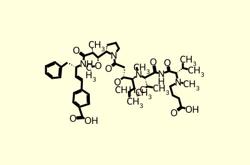 CC[C@H](C)[C@@H]([C@@H](CC(=O)N1CCC[C@H]1[C@H](OC)[C@@H](C)C(=O)N[C@H](/C=C/c1ccc(C(=O)O)cc1)Cc1ccccc1)OC)N(C)[C@H](C(=O)NC(=O)[C@H](C(C)C)N(C)CCCC(=O)O)C(C)C